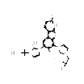 [2H]C([2H])([2H])CN1C=CN(c2c(C)c(N3C=CN(C([2H])([2H])C)[C@H]3C)cc3c2oc2nc(C)ccc23)[C@H]1C